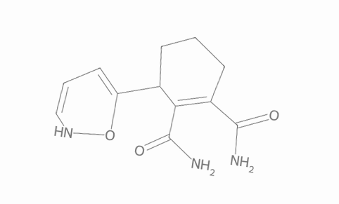 NC(=O)C1=C(C(N)=O)C(C2=CC=CNO2)CCC1